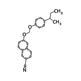 CCC(C)c1ccc(OCOc2ccc3cc(C#N)ccc3c2)cc1